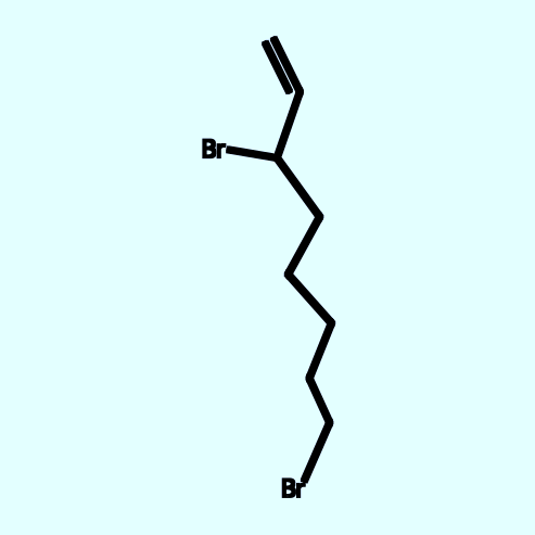 C=CC(Br)CCCCCBr